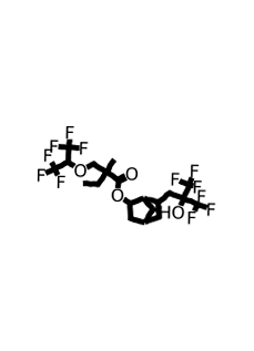 CCC(C)(COC(C(F)(F)F)C(F)(F)F)C(=O)OC1CC2CC(CC(O)(C(F)(F)F)C(F)(F)F)C1C2